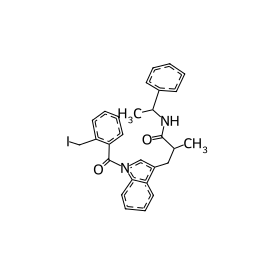 CC(Cc1cn(C(=O)c2ccccc2CI)c2ccccc12)C(=O)NC(C)c1ccccc1